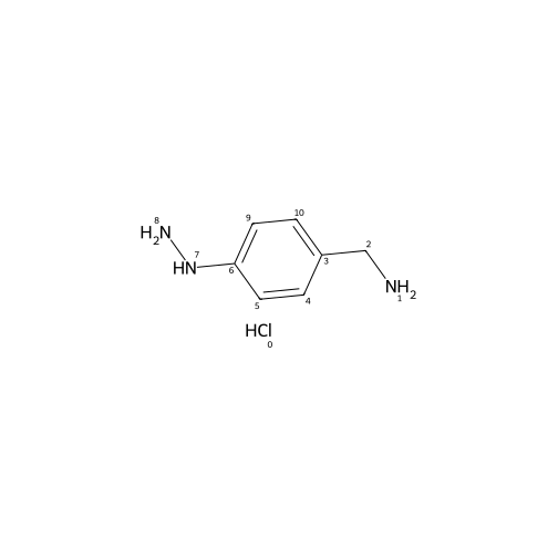 Cl.NCc1ccc(NN)cc1